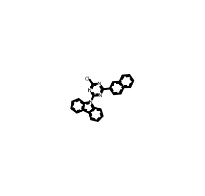 Clc1nc(-c2ccc3ccccc3c2)nc(-n2c3ccccc3c3ccccc32)n1